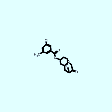 Cc1cc(Cl)cc(C(=O)OC2CC3CC4CC(C2)N3CC4=O)c1